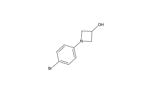 OC1CN(c2ccc(Br)cc2)C1